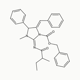 CCC(C)C(=O)/N=C1\N(C(=O)OCc2ccccc2)/C(=C\c2ccccc2)C(c2ccccc2)N1C